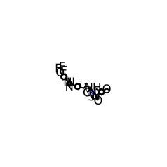 COc1ccc(N2C(=O)CS/C2=N\C(=O)NC(C)Cc2ccc(-c3ncn(-c4ccc(OC(F)(F)F)cc4)n3)cc2)c(C)c1